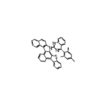 Cc1cc(C)c(-c2nc(-n3c4ccc5ccccc5c4c4c5ccccc5c5c6ccccc6sc5c43)nc3ccccc23)c(C)c1